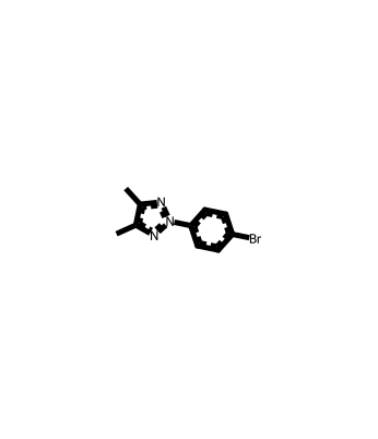 Cc1nn(-c2ccc(Br)cc2)nc1C